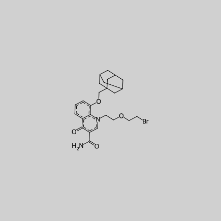 NC(=O)c1cn(CCOCCBr)c2c(OCC34CC5CC(CC(C5)C3)C4)cccc2c1=O